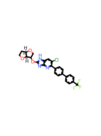 FC(F)(F)c1ccc(-c2ccc(-c3nc4nc(OC5CO[C@@H]6CCO[C@H]56)[nH]c4cc3Cl)cc2)cc1